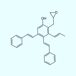 CC=Cc1c(C=Cc2ccccc2)c(C=Cc2ccccc2)cc(O)c1CC1CO1